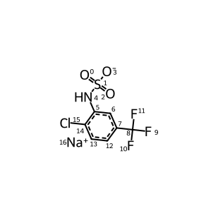 O=S(=O)([O-])Nc1cc(C(F)(F)F)ccc1Cl.[Na+]